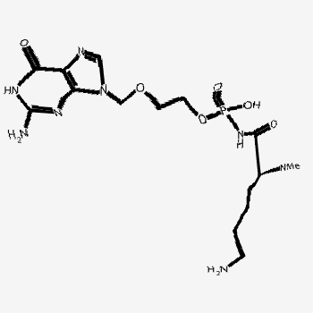 CN[C@@H](CCCCN)C(=O)NP(=O)(O)OCCOCn1cnc2c(=O)[nH]c(N)nc21